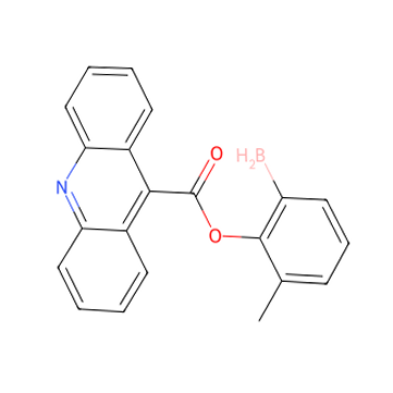 Bc1cccc(C)c1OC(=O)c1c2ccccc2nc2ccccc12